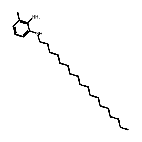 CCCCCCCCCCCCCCCCCCNc1cccc(C)c1N